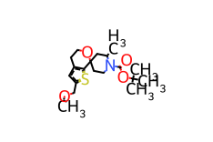 COCc1cc2c(s1)C1(CCN(C(=O)OC(C)(C)C)C(C)C1)OCC2